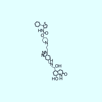 O=C(Nc1ccsc1-c1ccccc1)OC1CCN(CCCn2nnc3cc(CNCC(O)c4ccc(O)c5[nH]c(=O)ccc45)ccc32)CC1